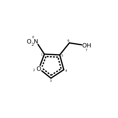 O=[N+]([O-])c1occc1CO